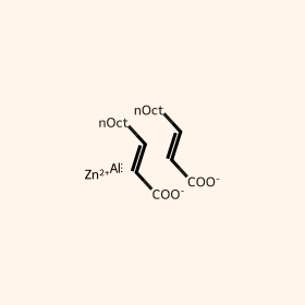 CCCCCCCCC=CC(=O)[O-].CCCCCCCCC=CC(=O)[O-].[Al].[Zn+2]